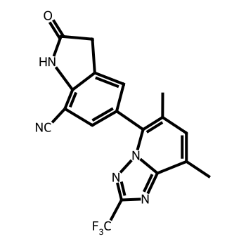 Cc1cc(C)c2nc(C(F)(F)F)nn2c1-c1cc(C#N)c2c(c1)CC(=O)N2